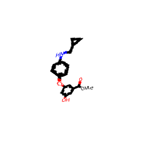 COC(=O)c1cc(O)cc(Oc2ccc(NCC3CC3)cc2)c1